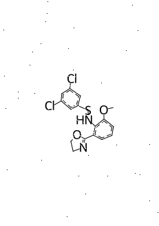 COc1cccc(C2=NCCO2)c1NSc1cc(Cl)cc(Cl)c1